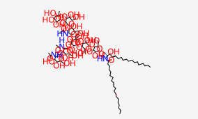 CCCCCCCCCCCCC/C=C/[C@@H](O)[C@H](CO[C@@H]1OC(CO)[C@@H](O[C@@H]2OC(CO)[C@H](O[C@@H]3OC(CO)[C@H](O[C@@H]4OC(CO)[C@H](O)[C@H](O[C@@H]5OC(CO)[C@H](O)[C@H](O)C5O[C@H]5OC(C)[C@@H](O)C(O)[C@@H]5O)C4NC(C)=O)[C@H](O[C@@H]4OC(CO)[C@H](O)[C@H](O[C@H]5OC(CO)[C@H](O)[C@H](O)C5NC(C)=O)C4NC(C)=O)C3O)[C@H](O)C2O)[C@H](O)C1O)NC(=O)CCCCCCCCCCCCCCCCCCC